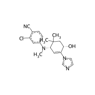 CN(c1ccc(C#N)c(Cl)c1)[C@H]1C=C(n2ccnc2)[C@@H](O)CC1(C)C